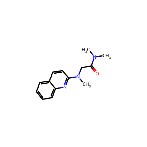 CN(C)C(=O)CN(C)c1ccc2ccccc2n1